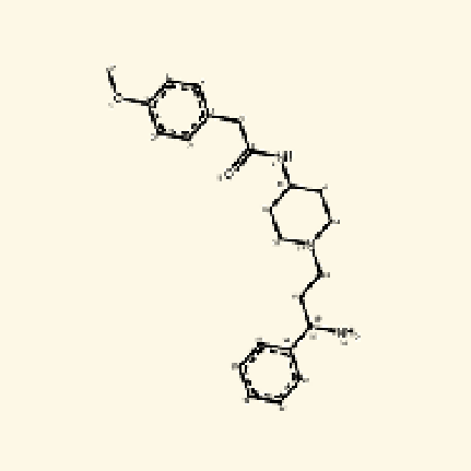 COc1ccc(CC(=O)NC2CCN(CC[C@@H](N)c3ccccc3)CC2)cc1